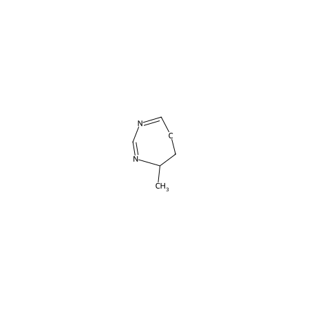 CC1CCC=NC=N1